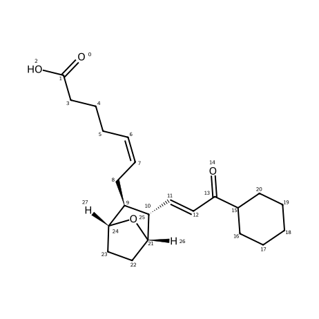 O=C(O)CCC/C=C\C[C@H]1[C@H](/C=C/C(=O)C2CCCCC2)[C@@H]2CC[C@H]1O2